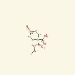 CCOC(=O)C1(C(=O)O)CCC(=O)CC1